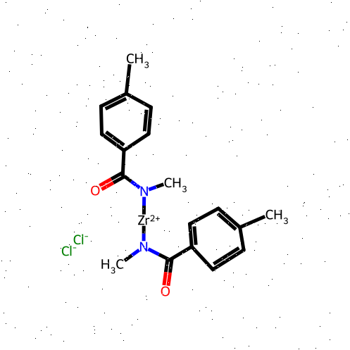 Cc1ccc(C(=O)[N](C)[Zr+2][N](C)C(=O)c2ccc(C)cc2)cc1.[Cl-].[Cl-]